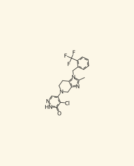 Cc1nc2c(n1Cc1ccccc1C(F)(F)F)CCN(c1cn[nH]c(=O)c1Cl)C2